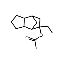 CCC1(OC(C)=O)CC2CC1C1CCCC21